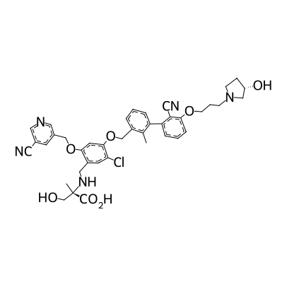 Cc1c(COc2cc(OCc3cncc(C#N)c3)c(CN[C@@](C)(CO)C(=O)O)cc2Cl)cccc1-c1cccc(OCCCN2CC[C@H](O)C2)c1C#N